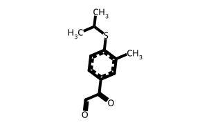 Cc1cc(C(=O)C=O)ccc1SC(C)C